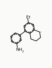 CCc1cc2c(c(-c3cccc(N)c3)c1)CCC[C]2